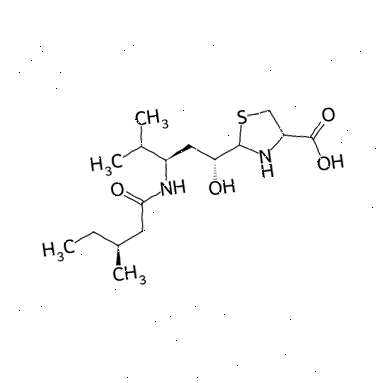 CC[C@H](C)CC(=O)N[C@H](C[C@@H](O)C1NC(C(=O)O)CS1)C(C)C